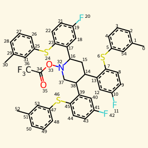 Cc1cccc(Sc2ccc(F)cc2C2CC(c3cc(F)ccc3Sc3cccc(C)c3)N(OC(=O)C(F)(F)F)CC2c2cc(F)ccc2Sc2cccc(C)c2)c1